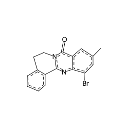 Cc1cc(Br)c2nc3n(c(=O)c2c1)CCc1ccccc1-3